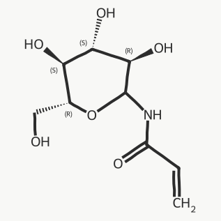 C=CC(=O)NC1O[C@H](CO)[C@@H](O)[C@H](O)[C@H]1O